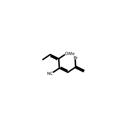 C=C(Br)/C=C(C#N)\C(=C/C)OC